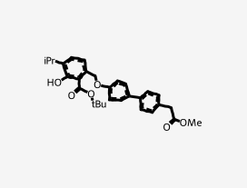 COC(=O)Cc1ccc(-c2ccc(OCc3ccc(C(C)C)c(O)c3C(=O)OC(C)(C)C)cc2)cc1